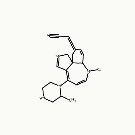 CC1CNCCN1C1=C2C=NCC23C/C(=C\C#N)C=CC3N(Cl)C=C1